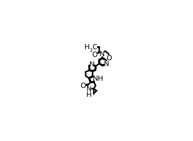 C=CC(=O)N1CCOc2ncc(-c3cc4c(cn3)CCc3c-4[nH]c4c3C(=O)NC3(CC3)C4)cc21